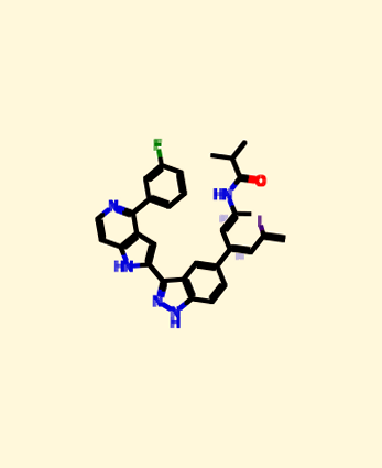 C=C(I)/C=C(\C=C(/C)NC(=O)C(C)C)c1ccc2[nH]nc(-c3cc4c(-c5cccc(F)c5)nccc4[nH]3)c2c1